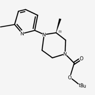 C[C@H]1CN(C(=O)OC(C)(C)C)CCN1c1cccc(Cl)n1